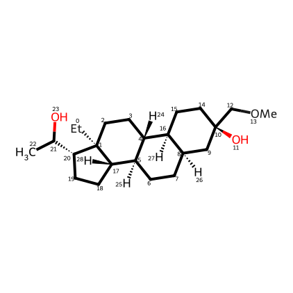 CC[C@]12CC[C@H]3[C@@H](CC[C@@H]4C[C@@](O)(COC)CC[C@@H]43)[C@@H]1CC[C@@H]2C(C)O